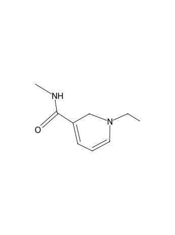 CCN1C=CC=C(C(=O)NC)C1